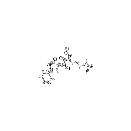 CCO/N=C(/CSCC1CC1(F)F)C(=O)N(CC)c1cn(-c2cccnc2)nc1Cl